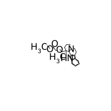 CCOC(=O)COCC1(CC)CCCN2CCc3c([nH]c4ccccc34)C21